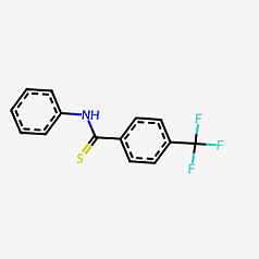 FC(F)(F)c1ccc(C(=S)Nc2ccccc2)cc1